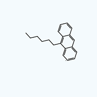 CCCCCCc1c2c[c]ccc2cc2ccccc12